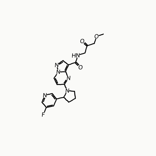 COCC(=O)CNC(=O)c1cnn2ccc(N3CCCC3c3cncc(F)c3)nc12